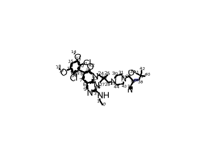 CCNc1ncc2cc(-c3c(Cl)c(OC)cc(OC)c3Cl)c(=O)n(CC(C)(C)CN3CCN(C(=O)/C(C#N)=C\C(C)(C)C)CC3)c2n1